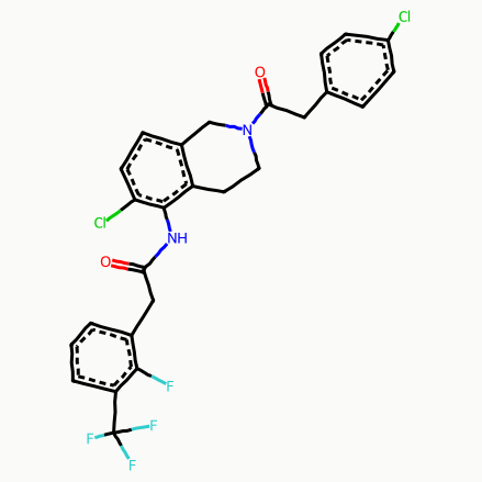 O=C(Cc1cccc(C(F)(F)F)c1F)Nc1c(Cl)ccc2c1CCN(C(=O)Cc1ccc(Cl)cc1)C2